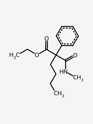 CCCCC(C(=O)NC)(C(=O)OCC)c1ccccc1